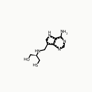 Nc1ncnc2c(CN[C@H](CO)CS)c[nH]c12